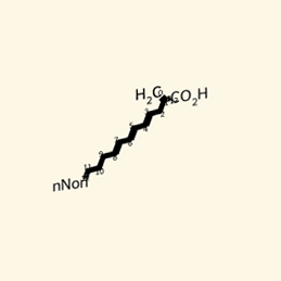 C=C(CC=CC=CC=CCCCCCCCCCCCC)C(=O)O